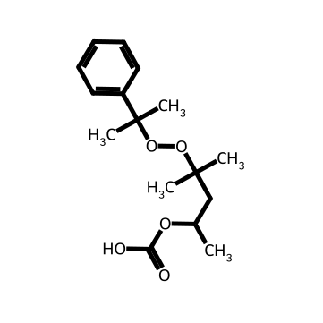 CC(CC(C)(C)OOC(C)(C)c1ccccc1)OC(=O)O